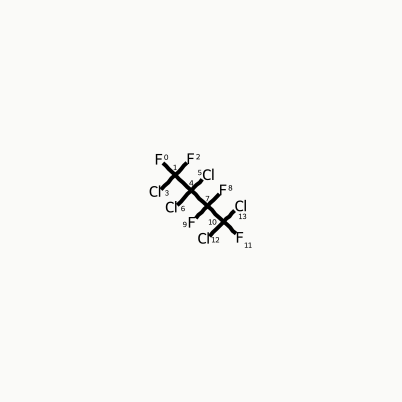 FC(F)(Cl)C(Cl)(Cl)C(F)(F)C(F)(Cl)Cl